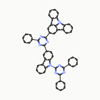 c1ccc(-c2nc(-c3ccc4c(c3)c3ccccc3n4-c3nc(-c4ccccc4)nc(-c4ccccc4)n3)nc(-c3cc4c5ccccc5n5c6ccccc6c(c3)c45)n2)cc1